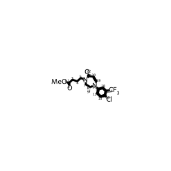 COC(=O)CCCN1C[C@@H](C)N(c2ccc(Cl)c(C(F)(F)F)c2)C=CC1=O